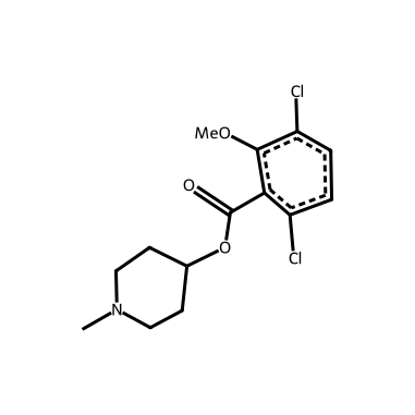 COc1c(Cl)ccc(Cl)c1C(=O)OC1CCN(C)CC1